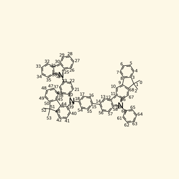 CC1(C)c2ccccc2-c2cc3c4cc(-c5ccc(N(c6ccc(-n7c8ccccc8c8ccccc87)cc6)c6cccc7c6-c6ccccc6C7(C)C)cc5)ccc4n(-c4ccccc4)c3cc21